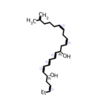 C=C(C)CCC/C=C\C/C=C\C[C@@H](O)/C=C/C=C/C=C\[C@H](O)C/C=C\CC